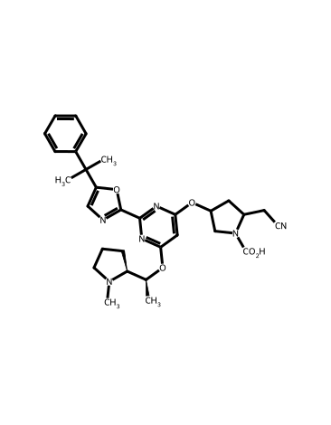 C[C@H](Oc1cc(OC2CC(CC#N)N(C(=O)O)C2)nc(-c2ncc(C(C)(C)c3ccccc3)o2)n1)[C@@H]1CCCN1C